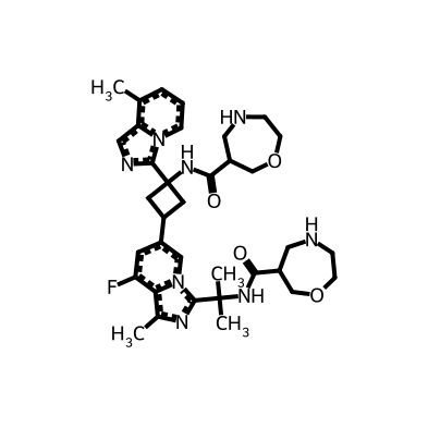 Cc1cccn2c(C3(NC(=O)C4CNCCOC4)CC(c4cc(F)c5c(C)nc(C(C)(C)NC(=O)C6CNCCOC6)n5c4)C3)ncc12